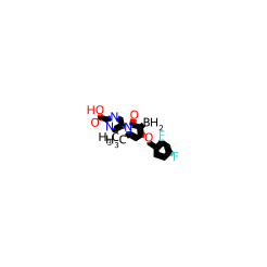 Bc1c(OCc2ccc(F)cc2F)cc(C)n(-c2cnc(C(=O)O)nc2C)c1=O